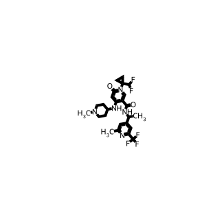 Cc1cc(C(C)NC(=O)c2cn(C3(C(F)F)CC3)c(=O)cc2NC2CCN(C)CC2)cc(C(F)(F)F)n1